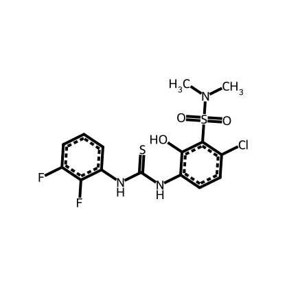 CN(C)S(=O)(=O)c1c(Cl)ccc(NC(=S)Nc2cccc(F)c2F)c1O